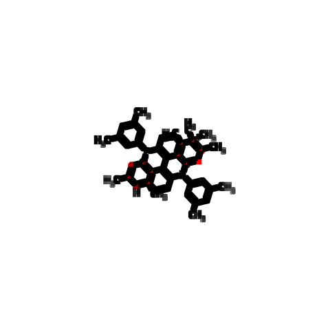 Cc1cc(C)cc(P(c2cc(C)cc(C)c2)c2ccc3c(c2-c2c(P(c4cc(C)cc(C)c4)c4cc(C)cc(C)c4)ccc4c2OCC[N+]4(C)C)OCCN3)c1